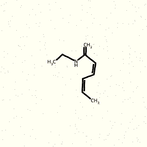 C=C(/C=C\C=C/C)NCC